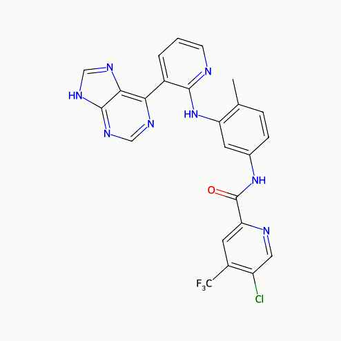 Cc1ccc(NC(=O)c2cc(C(F)(F)F)c(Cl)cn2)cc1Nc1ncccc1-c1ncnc2[nH]cnc12